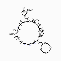 CO[C@@H]1C[C@H](C[C@@H](C)[C@@H]2CC(=O)[C@H](C)/C=C(\C)[C@@H](O)[C@@H](OC)C(=O)[C@H](C)C[C@H](C)/C=C/C=C/C=C(\C)C(OCC3COCCOCCOCCO3)C[C@@H]3CC[C@@H](C)[C@@](O)(O3)C(=O)C(=O)N3CCCC[C@H]3C(=O)O2)CC[C@H]1O